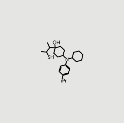 CC(C)c1ccc(N(C2CCCCC2)C2CCC(O)(C(C)C(C)S)CC2)cc1